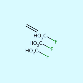 C=C.O=C(O)F.O=C(O)F.O=C(O)F